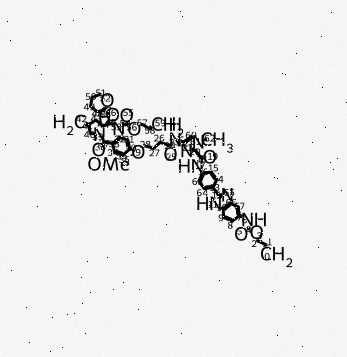 C=CCOC(=O)Nc1ccc2[nH]c(-c3ccc(NC(=O)c4nc(NC(=O)CCCOc5cc6c(cc5OC)C(=O)N5CC(=C)C[C@H]5[C@H](OC5CCCCO5)N6C(=O)OCC=C)cn4C)cc3)nc2c1